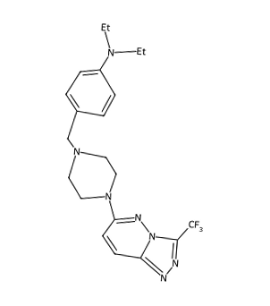 CCN(CC)c1ccc(CN2CCN(c3ccc4nnc(C(F)(F)F)n4n3)CC2)cc1